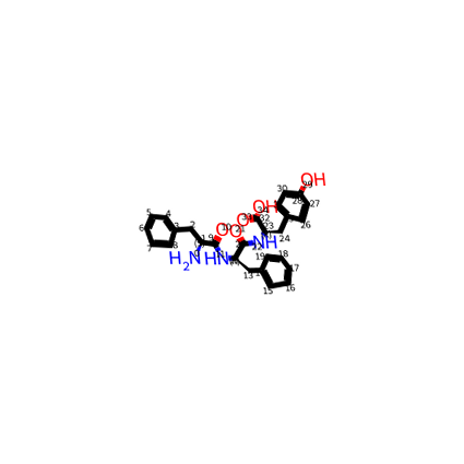 N[C@@H](Cc1ccccc1)C(=O)N[C@H](Cc1ccccc1)C(=O)N[C@H](Cc1ccc(O)cc1)C(=O)O